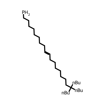 CCCCC(CCCC)(CCCC)CCCCCCCC=CCCCCCCCCP